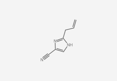 C=CCc1nc(C#N)c[nH]1